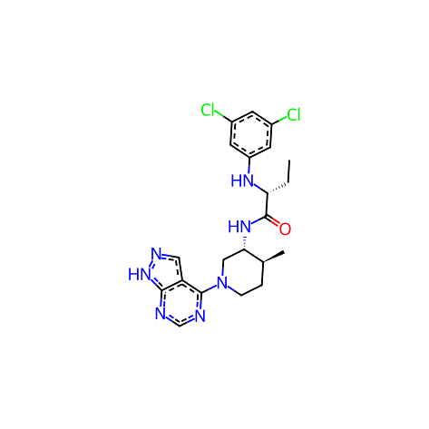 CC[C@@H](Nc1cc(Cl)cc(Cl)c1)C(=O)N[C@H]1CN(c2ncnc3[nH]ncc23)CC[C@@H]1C